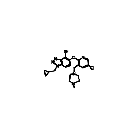 CN1CCN(Cc2cc(Cl)cnc2Oc2ccc3c(nnn3CC3CC3)c2Br)CC1